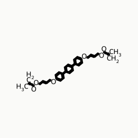 C=C(C)C(=O)OC/C=C/COc1ccc(-c2ccc(-c3ccc(OC/C=C/COC(=O)C(=C)C)cc3)cc2)cc1